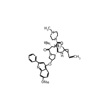 C=CC1CC1(NC(=O)[C@@H]1C[C@@H](Oc2cc(-c3ccccc3)nc3cc(OC)ccc23)CN1C(=O)[C@@H](CC(=O)N1CCN(C)CC1)C(C)(C)C)C(=O)O